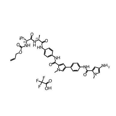 C=CCOC(=O)N[C@H](C(=O)N[C@@H](C)C(=O)Nc1ccc(NC(=O)c2cc(-c3ccc(NC(=O)c4cc(N)cn4C)cc3)cn2C)cc1)C(C)C.O=C(O)C(F)(F)F